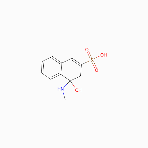 CNC1(O)CC(S(=O)(=O)O)=Cc2ccccc21